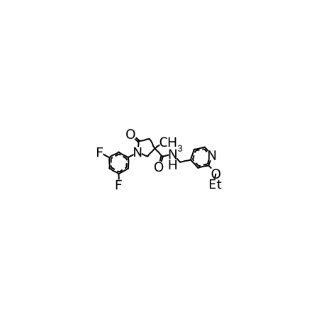 CCOc1cc(CNC(=O)C2(C)CC(=O)N(c3cc(F)cc(F)c3)C2)ccn1